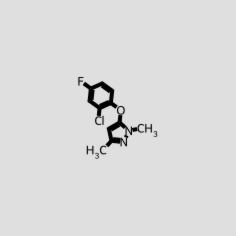 Cc1cc(Oc2ccc(F)cc2Cl)n(C)n1